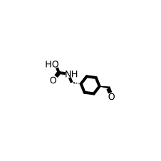 O=C[C@H]1CC[C@H](CNC(=O)O)CC1